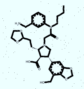 CCCCN(C(=O)CN1C[C@H](c2cc(CO)c3c(c2)OCO3)[C@@H](C(=O)O)[C@@H]1CCC1OCCO1)c1cccc(CN)c1